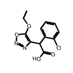 CCOc1onnc1C(C(=O)O)c1ccccc1Cl